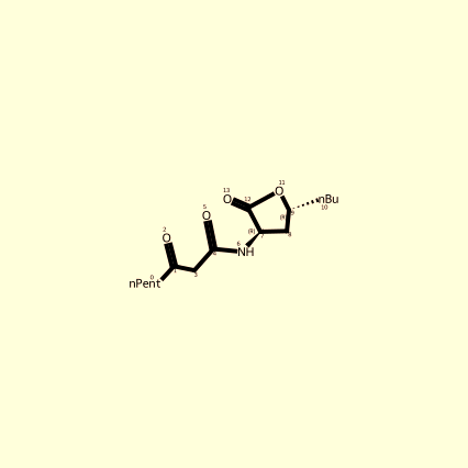 CCCCCC(=O)CC(=O)N[C@@H]1C[C@@H](CCCC)OC1=O